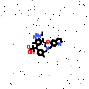 CC[C@@H]1CN(Cc2cc(C(c3ccc4c(nnn4CC)c3C)C(C)(C)C(=O)O)ccc2C)Cc2cc3ncccc3cc2O1